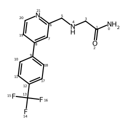 NC(=O)CNCc1cc(-c2ccc(C(F)(F)F)cc2)ccn1